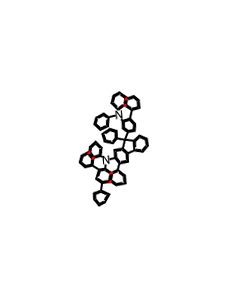 c1ccc(-c2ccc(N(c3ccccc3)c3cc4c(cc3-c3ccccc3)-c3ccccc3C4(c3ccccc3)c3ccc(-c4ccccc4)c(N(c4ccccc4)c4ccccc4)c3)c(-c3ccccc3)c2)cc1